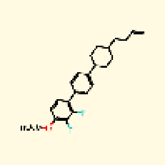 C=CCCC1CCC(c2ccc(-c3ccc(OCCCCCCCC)c(F)c3F)cc2)CC1